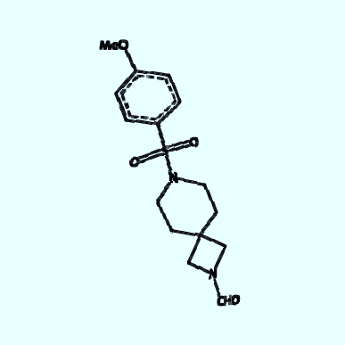 COc1ccc(S(=O)(=O)N2CCC3(CC2)CN(C=O)C3)cc1